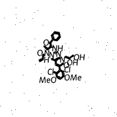 C=CC(=O)N[C@H]1COC(c2ccccc2)[C@H]1Nc1ncc2cc(-c3c(Cl)c(OC)cc(OC)c3Cl)c(=O)n(CC(O)CO)c2n1